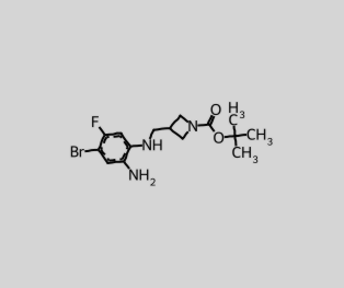 CC(C)(C)OC(=O)N1CC(CNc2cc(F)c(Br)cc2N)C1